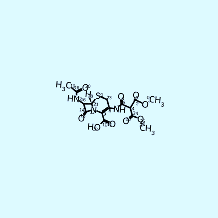 COC(=O)C(C(=O)NC1=C(C(=O)O)N2C(=O)C(NC(C)=O)[C@@H]2SC1)C(=O)OC